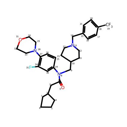 O=C(CC1CCCC1)N(CC1CCN(Cc2ccc(C(F)(F)F)cc2)CC1)c1ccc(N2CCOCC2)c(F)c1